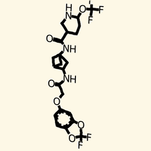 O=C(COc1ccc2c(c1)OC(F)(F)O2)NC1CC2(NC(=O)C3CCC(OC(F)(F)F)NC3)CC1C2